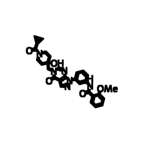 COc1ccccc1C(=O)Nc1cccc(-n2ncc3c(=O)n(CC4(O)CCN(C(=O)C5CC5)CC4)cnc32)c1